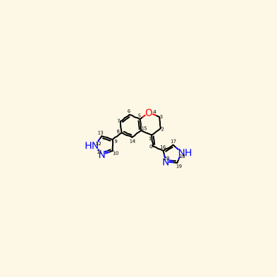 C(=C1/CCOc2ccc(-c3cn[nH]c3)cc21)/c1c[nH]cn1